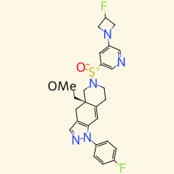 COC[C@]12Cc3cnn(-c4ccc(F)cc4)c3C=C1CCN([S+]([O-])c1cncc(N3CC(F)C3)c1)C2